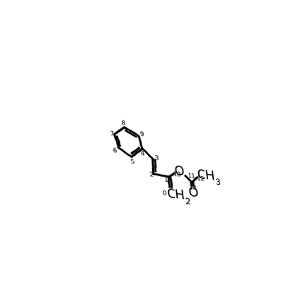 C=C(C=Cc1ccccc1)OC(C)=O